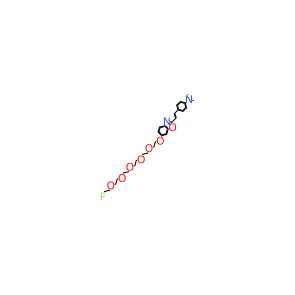 CN(C)c1ccc(/C=C/c2nc3ccc(OCCOCCOCCOCCOCCOCCF)cc3o2)cc1